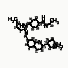 C=N/C=C\C(=N/Cc1ccc2ccc(C(/C=C\N)=C/N)nc2c1)Nc1ccc(N/N=C\C)cc1